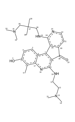 Cc1c(O)ccc2c3c(c(NCCN(C)C)nc12)C(=O)c1ccnc(NCC(C)(C)CN(C)C)c1-3